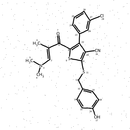 CC(=CN(C)C)C(=O)c1sc(SCc2ccc(O)cc2)c(C#N)c1-c1cccc(Cl)c1